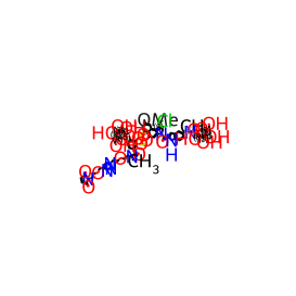 COc1ccc2c(OS(=O)(=O)Oc3cc(C(=O)N(C)CCOCCn4cc(COCCN5C(=O)C=CC5=O)nn4)ccc3O[C@@H]3O[C@H](CO)[C@H](O)[C@H](O)[C@H]3O)cc3c(c2c1)[C@H](CCl)CN3C(=O)c1cc2cc(/C(C)=N/OC3O[C@H](CO)[C@H](O)[C@H](O)[C@H]3O)ccc2[nH]1